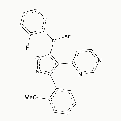 COc1ccccc1-c1noc(N(C(C)=O)c2ccccc2F)c1-c1ccncn1